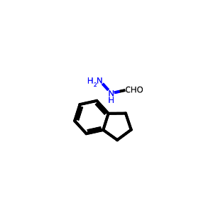 NNC=O.c1ccc2c(c1)CCC2